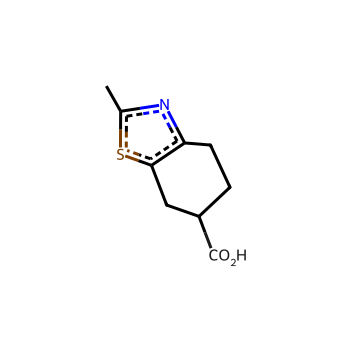 Cc1nc2c(s1)CC(C(=O)O)CC2